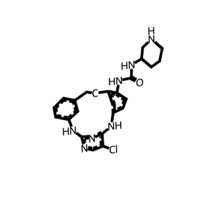 O=C(Nc1ccc2cc1CCc1cccc(c1)Nc1ncc(Cl)c(n1)N2)NC1CCCNC1